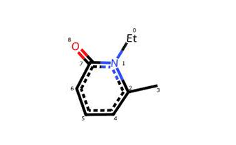 CCn1c(C)cccc1=O